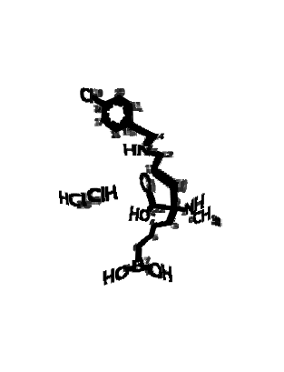 CNC(CCCCB(O)O)(CCCNCc1ccc(Cl)cc1)C(=O)O.Cl.Cl